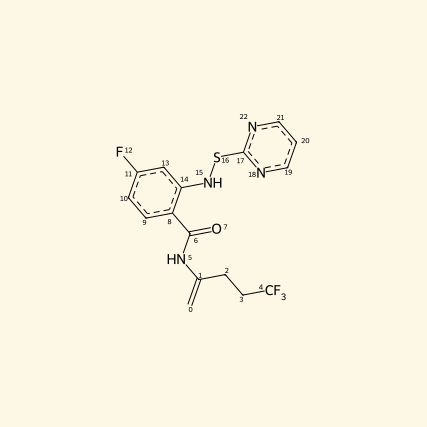 C=C(CCC(F)(F)F)NC(=O)c1ccc(F)cc1NSc1ncccn1